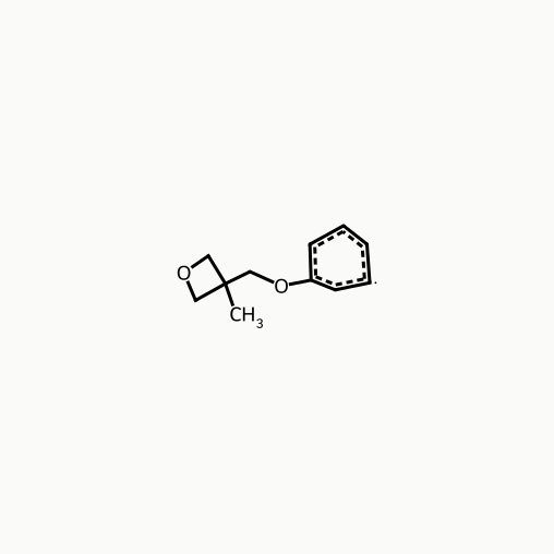 CC1(COc2c[c]ccc2)COC1